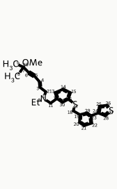 CCN(CC=CC#CC(C)(C)OC)Cc1cccc(SCc2cccc(-c3ccsc3)c2)c1